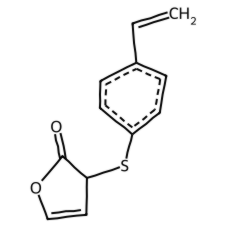 C=Cc1ccc(SC2C=COC2=O)cc1